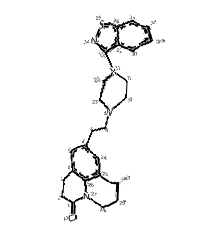 O=C1CCc2cc(CCN3CCN(c4nsc5ccccc45)CC3)cc3c2N1CCC3